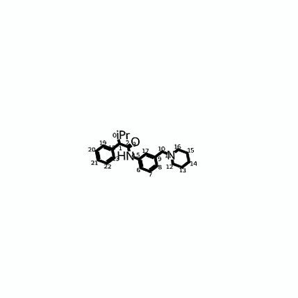 CC(C)C(C(=O)Nc1cccc(CN2CCCCC2)c1)c1ccccc1